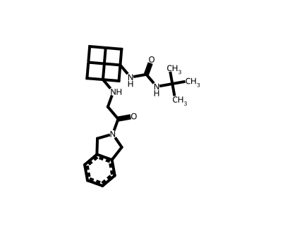 CC(C)(C)NC(=O)NC12CC3CC4CC(NCC(=O)N5Cc6ccccc6C5)(C1)C432